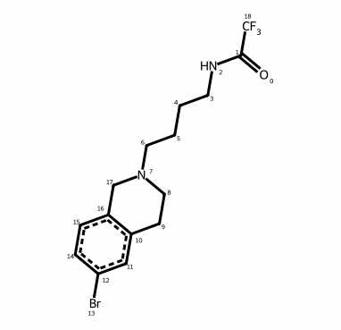 O=C(NCCCCN1CCc2cc(Br)ccc2C1)C(F)(F)F